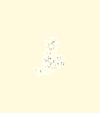 COc1c(C#N)ccc(OC(C)C(F)(F)F)c1C(=O)N1CC(c2ccc(Cl)cc2)C1